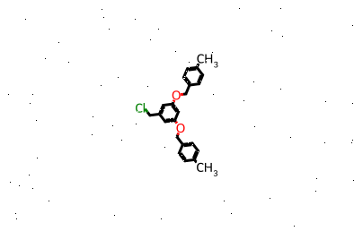 Cc1ccc(COc2cc(CCl)cc(OCc3ccc(C)cc3)c2)cc1